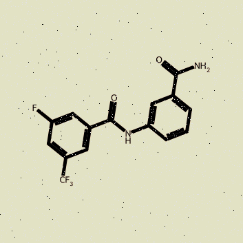 NC(=O)c1cccc(NC(=O)c2cc(F)cc(C(F)(F)F)c2)c1